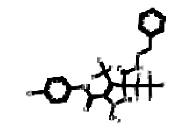 CN1NC(C(=O)NOCc2ccccc2)(C(F)(F)C(F)(F)F)C(C(F)(F)F)=C1C(=O)Nc1ccc(Cl)cc1